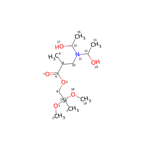 CO[Si](C)(COC(=O)C(C)CN(C(C)O)C(C)O)OC